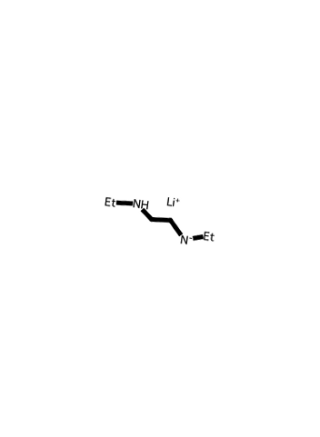 CC[N-]CCNCC.[Li+]